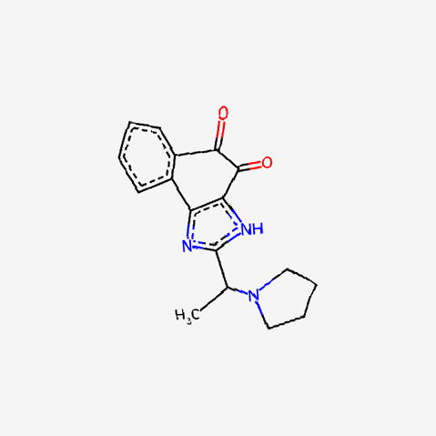 CC(c1nc2c([nH]1)C(=O)C(=O)c1ccccc1-2)N1CCCC1